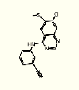 C#Cc1cccc(Nc2ncnc3cc(Cl)c(SC)cc23)c1